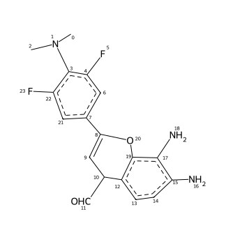 CN(C)c1c(F)cc(C2=CC(C=O)c3ccc(N)c(N)c3O2)cc1F